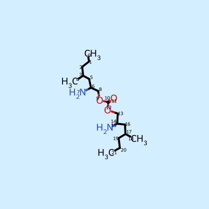 CCCC(C)CC(N)COC(=O)OCC(N)CC(C)CCC